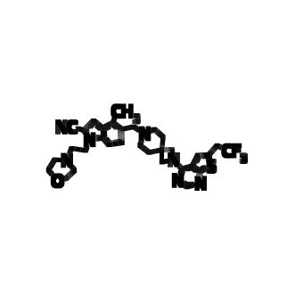 Cc1c(CN2CCC3(CC2)CN(c2ncnc4sc(CC(F)(F)F)cc24)C3)ccc2c1cc(C#N)n2CCN1CCOCC1